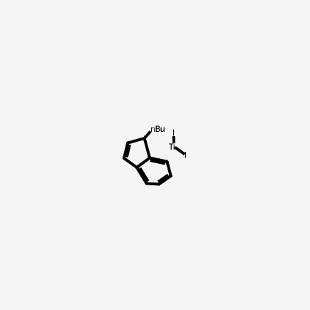 CCCC[C]1C=Cc2ccccc21.[I][Ti][I]